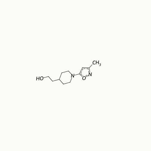 Cc1cc(N2CCC(CCO)CC2)on1